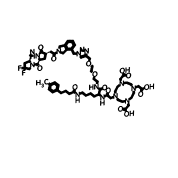 Cc1ccc(CCCC(=O)NCCCCC(NC(=O)CN2CCN(CC(=O)O)CCN(CC(=O)O)CCN(CC(=O)O)CC2)C(=O)NCCOCCOCc2cn(Cc3cccc4c3CN(C(=O)C[C@@H]3C[C@@H](C(=O)N5CC(F)(F)C[C@H]5C#N)NC3=O)C4)nn2)cc1